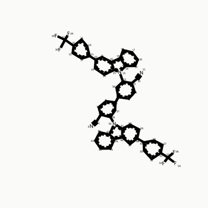 N#Cc1ccc(-c2ccc(C#N)c(-n3c4ccccc4c4cc(-c5ccc(C(F)(F)F)cc5)ccc43)c2)cc1-n1c2ccccc2c2cc(-c3ccc(C(F)(F)F)cc3)ccc21